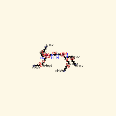 CCCCCC/C=C\CCCC(=O)O[C@H](CCCCCCC)CCOCC(COP(=O)(O)OCCNC(=O)CC(=O)NCCOP(=O)(O)OCC(COCC[C@@H](CCCCCCC)OC(=O)CCC/C=C\CCCCCC)NC(=O)CC(CCCCCCCCCCC)OC(=O)CCC/C=C/CCCCCC)NC(=O)CC(CCCCCCCCCCC)OC(=O)CCC/C=C/CCCCCC